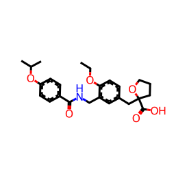 CCOc1ccc(CC2(C(=O)O)CCCO2)cc1CNC(=O)c1ccc(OC(C)C)cc1